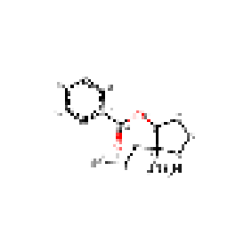 CC(C)CCC1(C(=O)O)CCCC1OC(=O)c1ccccc1